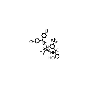 CS(=O)(=O)N(c1cc(C(=O)N[C@H]2CCC[C@H]2O)cc(C(F)(F)F)c1)C1CN(C(c2ccc(Cl)cc2)c2ccc(Cl)cc2)C1